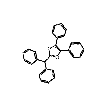 c1ccc(C2=C(c3ccccc3)OC(C(c3ccccc3)c3ccccc3)O2)cc1